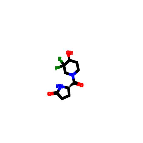 O=C1CC[C@@H](C(=O)N2CC[C@H](O)C(F)(F)C2)N1